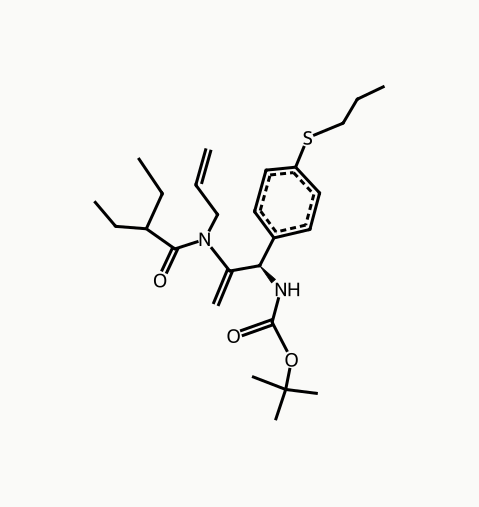 C=CCN(C(=C)[C@H](NC(=O)OC(C)(C)C)c1ccc(SCCC)cc1)C(=O)C(CC)CC